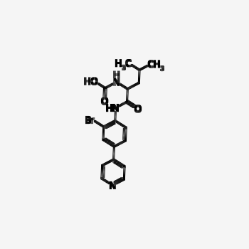 CC(C)CC(NC(=O)O)C(=O)Nc1ccc(-c2ccncc2)cc1Br